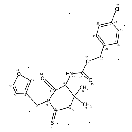 CC1(C)SC(=S)N(Cc2ccoc2)C(=O)C1NC(=O)OCc1ccc(Cl)cc1